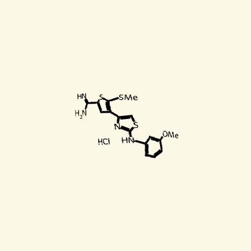 COc1cccc(Nc2nc(-c3cc(C(=N)N)sc3SC)cs2)c1.Cl